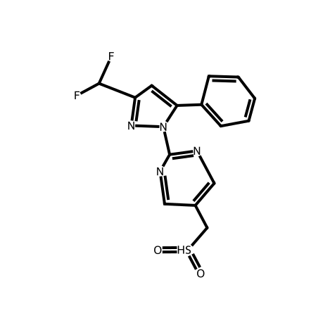 O=[SH](=O)Cc1cnc(-n2nc(C(F)F)cc2-c2ccccc2)nc1